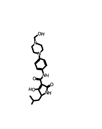 CC(C)CC1NC(=O)C(C(=O)Nc2ccc(N3CCN(CO)CC3)cc2)=C1O